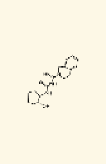 N=C(NC(=O)NC1CCCCC1O)N1CCc2ccccc2C1